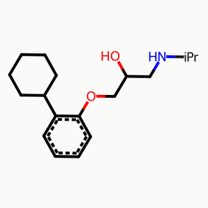 CC(C)NCC(O)COc1ccccc1C1CCCCC1